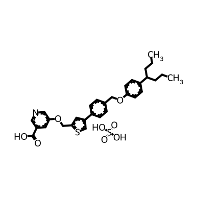 CCCC(CCC)c1ccc(OCc2ccc(-c3csc(COc4cncc(C(=O)O)c4)c3)cc2)cc1.O=S(=O)(O)O